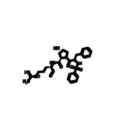 Cl.N=C(N)NCCC[C@@H](C=O)NC(=O)[C@@H]1CCCN1C(=O)[C@@H](Cc1ccccc1)NS(=O)(=O)c1ccccc1